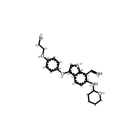 N=Cc1c(NC2CCCCO2)ccc2c(Oc3ccc(OCCBr)cc3)csc12